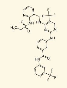 CCS(=O)(=O)Nc1ncccc1CNc1nc(Nc2cccc(C(=O)Nc3cccc(C(F)(F)F)c3)c2)ncc1C(F)(F)F